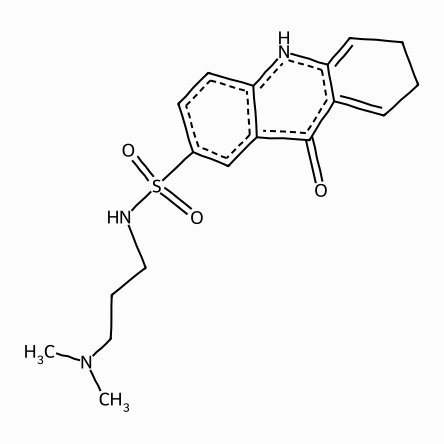 CN(C)CCCNS(=O)(=O)c1ccc2[nH]c3c(c(=O)c2c1)=CCCC=3